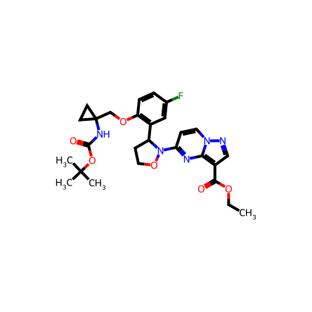 CCOC(=O)c1cnn2ccc(N3OCCC3c3cc(F)ccc3OCC3(NC(=O)OC(C)(C)C)CC3)nc12